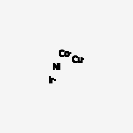 [Co].[Cu].[Ir].[Ni]